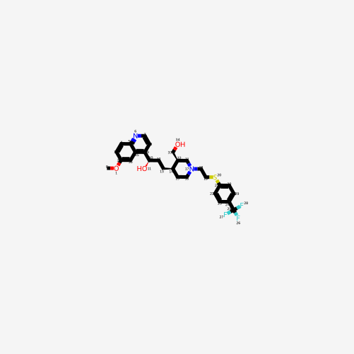 COc1ccc2nccc([C@@H](O)CC[C@@H]3CCN(CCSc4ccc(C(F)(F)F)cc4)C[C@@H]3CO)c2c1